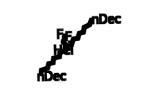 CCCCCCCCCCCCCCCCCCN(CCCCCCCCCCCCCCCCCC)CC(F)F.Cl